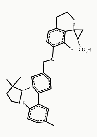 Cc1ccc(F)c(-c2ccc(COc3ccc4c(c3F)[C@@]3(CCC4)C[C@@H]3C(=O)O)cc2[C@@H]2CCCC2(C)C)c1